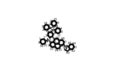 c1ccc(N(c2ccc([Si](c3ccccc3)(c3ccccc3)c3ccccc3)cc2)c2ccc3ccc4c(N5CCc6ccccc65)ccc5ccc2c3c54)cc1